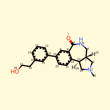 CN1C[C@H]2CNC(=O)c3cc(-c4cccc(CCO)c4)ccc3[C@@H]2C1